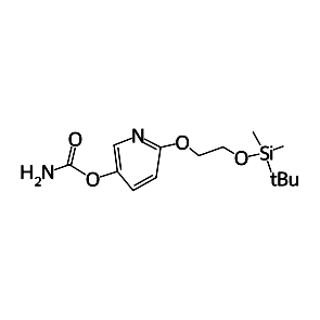 CC(C)(C)[Si](C)(C)OCCOc1ccc(OC(N)=O)cn1